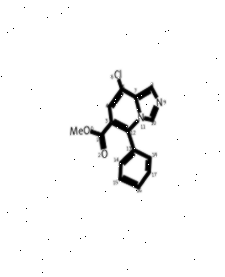 COC(=O)c1cc(Cl)c2cncn2c1-c1ccccc1